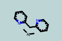 [CH3][Al][CH3].c1ccc(Cc2ccccn2)nc1